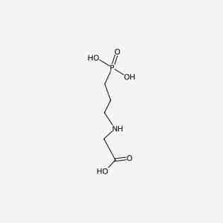 O=C(O)CNCCCP(=O)(O)O